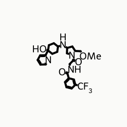 COCC1CC(NC2CCC(O)(c3ccccn3)CC2)CN1C(=O)CNC(=O)c1cccc(C(F)(F)F)c1